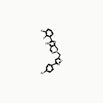 CC(=O)c1ccc(-c2cc(CN3Cc4nc(-c5cccc(F)c5F)[nH]c4C=N3)on2)cc1